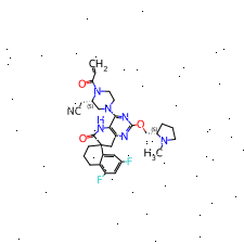 C=CC(=O)N1CCN(c2nc(OC[C@@H]3CCCN3C)nc3c2NC(=O)C2(CCCc4c(F)cc(F)cc42)C3)C[C@@H]1CC#N